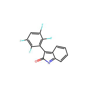 O=C1N=c2ccccc2=C1c1c(F)c(F)cc(F)c1F